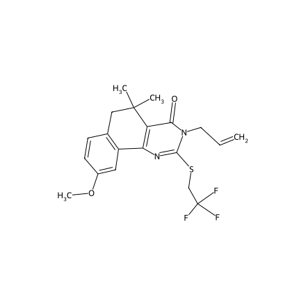 C=CCn1c(SCC(F)(F)F)nc2c(c1=O)C(C)(C)Cc1ccc(OC)cc1-2